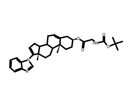 CC(C)(C)OC(=O)NCC(=O)O[C@H]1CC[C@@]2(C)C(=CCC3C2CC[C@]2(C)C(n4cnc5ccccc54)=CCC32)C1